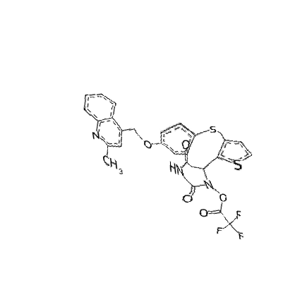 Cc1cc(COc2ccc(Sc3ccsc3C3C(=O)NC(=O)N3OC(=O)C(F)(F)F)cc2)c2ccccc2n1